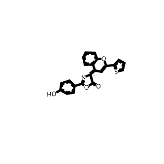 O=C1OC(c2ccc(O)cc2)=N/C1=C1/C=C(c2cccs2)Oc2ccccc21